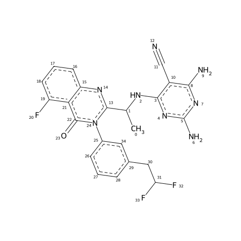 CC(Nc1nc(N)nc(N)c1C#N)c1nc2cccc(F)c2c(=O)n1-c1cccc(CC(F)F)c1